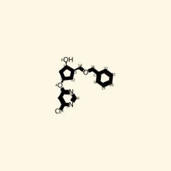 O[C@H]1C[C@H](Oc2cc(Cl)ncn2)C[C@@H]1COCc1ccccc1